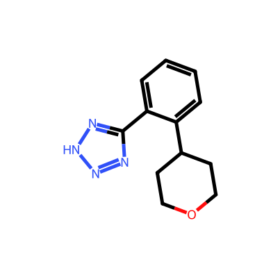 c1ccc(C2CCOCC2)c(-c2nn[nH]n2)c1